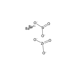 O=[Si]([O-])[O-].[Ba+2].[Ba+2].[O]=[Zr]([O-])[O-]